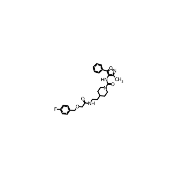 Cc1noc(-c2ccccc2)c1NC(=O)N1CCC(CCNC(=O)COCc2ccc(F)cc2)CC1